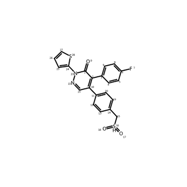 O=c1c(-c2ccc(F)cc2)c(-c2ccc(C[SH](=O)=O)cc2)cnn1-c1cccs1